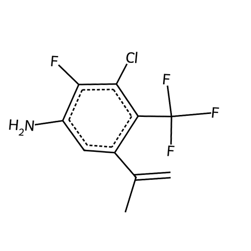 C=C(C)c1cc(N)c(F)c(Cl)c1C(F)(F)F